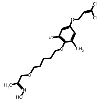 CCc1cc(OCC=C(Cl)Cl)cc(C)c1OCCCCCOCC(C)=NO